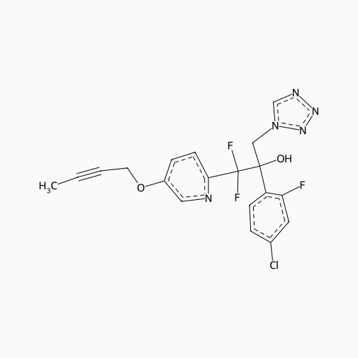 CC#CCOc1ccc(C(F)(F)C(O)(Cn2cnnn2)c2ccc(Cl)cc2F)nc1